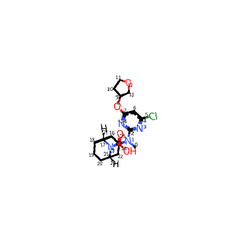 CN(c1nc(Cl)cc(OC2CCOC2)n1)C1C[C@H]2CCC[C@@H](C1)N2C(=O)O